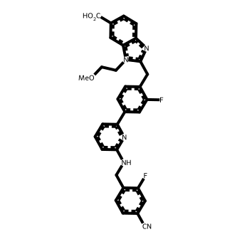 COCCn1c(Cc2ccc(-c3cccc(NCc4ccc(C#N)cc4F)n3)cc2F)nc2ccc(C(=O)O)cc21